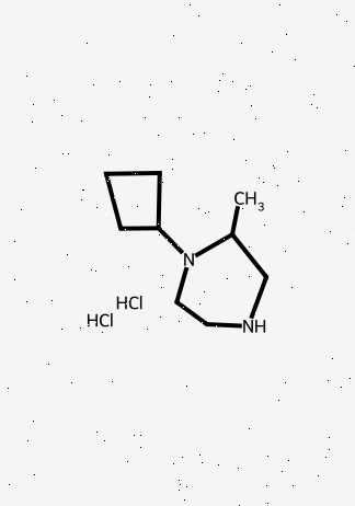 CC1CNCCN1C1CCC1.Cl.Cl